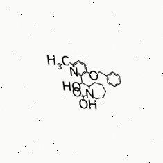 Cc1ccc(OCc2ccccc2)c(C(O)C2CCCCCN2C(=O)O)n1